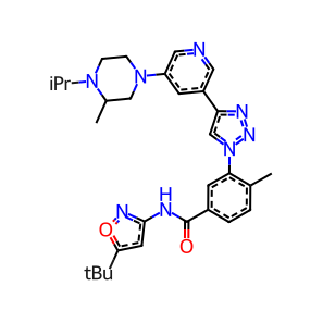 Cc1ccc(C(=O)Nc2cc(C(C)(C)C)on2)cc1-n1cc(-c2cncc(N3CCN(C(C)C)C(C)C3)c2)nn1